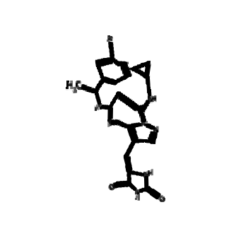 CC(Nc1cc(NC2CC2)n2ncc(/C=C3\NC(=O)NC3=O)c2n1)c1cccc(F)c1